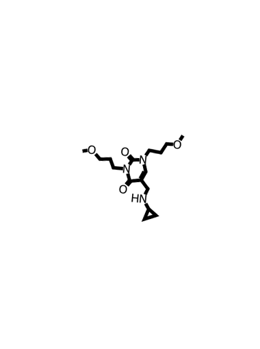 COCCCn1cc(CNC2CC2)c(=O)n(CCCOC)c1=O